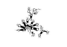 O=[C]=[Mn](=[C]=O)(=[C]=O)(=[C]=O)(=[C]=O)(=[C]=O)(=[C]=O)=[C]=O.O=[N+]([O-])[O-].O=[N+]([O-])[O-].[Co+2]